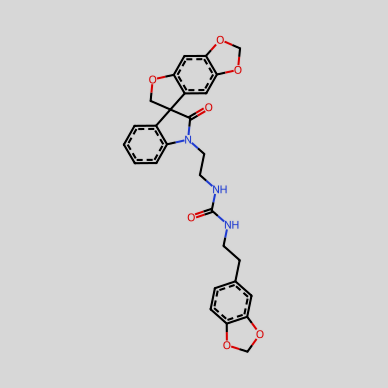 O=C(NCCc1ccc2c(c1)OCO2)NCCN1C(=O)C2(COc3cc4c(cc32)OCO4)c2ccccc21